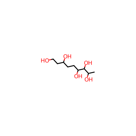 CC(O)C(O)C(O)CCC(O)CCO